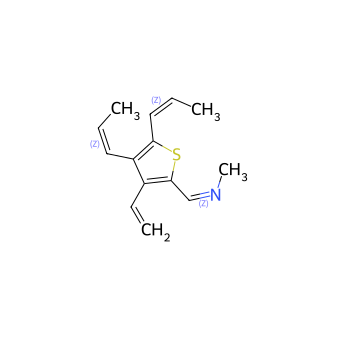 C=Cc1c(/C=N\C)sc(/C=C\C)c1/C=C\C